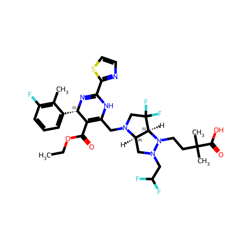 CCOC(=O)C1=C(CN2CC(F)(F)[C@@H]3[C@H]2CN(CC(F)F)N3CCC(C)(C)C(=O)O)NC(c2nccs2)=N[C@H]1c1cccc(F)c1C